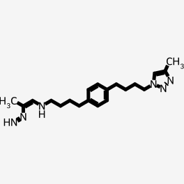 C/C(=C/NCCCCc1ccc(CCCCn2cc(C)nn2)cc1)N=N